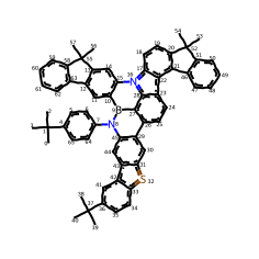 CC(C)(C)c1ccc(N2B3c4cc5c(cc4-n4c6ccc7c(c6c6ccc(c3c64)-c3cc4sc6ccc(C(C)(C)C)cc6c4cc32)-c2ccccc2C7(C)C)C(C)(C)c2ccccc2-5)cc1